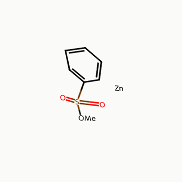 COS(=O)(=O)c1ccccc1.[Zn]